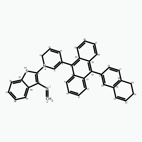 C=Nc1c(N2C=C(c3c4ccccc4c(-c4ccc5c(c4)C=CCC5)c4ccccc34)C=CC2)sc2ccccc12